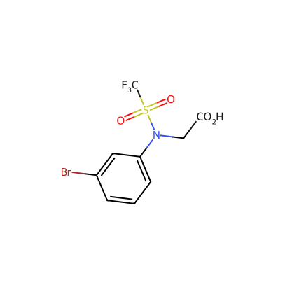 O=C(O)CN(c1cccc(Br)c1)S(=O)(=O)C(F)(F)F